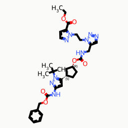 CCOC(=O)c1ccnn1CCn1nncc1CNC(=O)O[C@@H]1CC[C@H](c2cc(NC(=O)OCc3ccccc3)nn2C(C)(C)C)C1